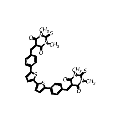 CN1C(=O)C(=Cc2ccc(-c3ccc(-c4ccc(-c5ccc(C=C6C(=O)N(C)C(=S)N(C)C6=O)cc5)s4)s3)cc2)C(=O)N(C)C1=S